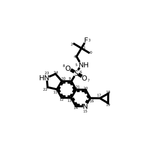 CC(C)(F)CNS(=O)(=O)c1c2c(cc3cnc(C4CC4)cc13)CNC2